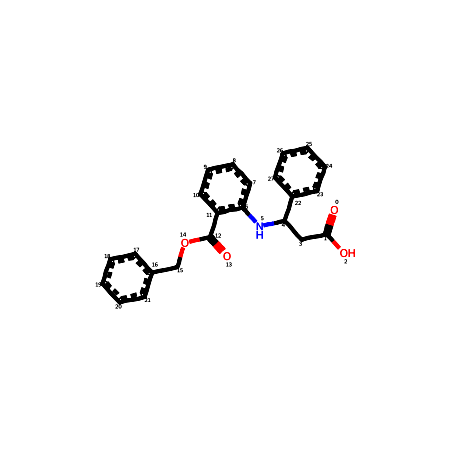 O=C(O)CC(Nc1ccccc1C(=O)OCc1ccccc1)c1ccccc1